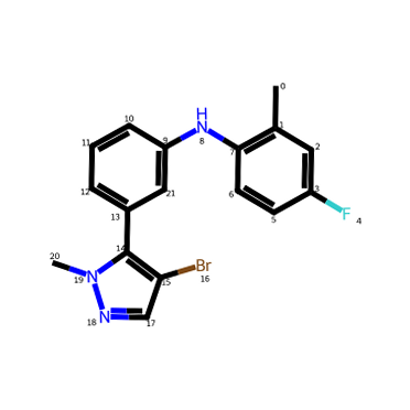 Cc1cc(F)ccc1Nc1cccc(-c2c(Br)cnn2C)c1